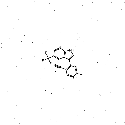 Cc1ncc(C#N)c(-c2c[nH]c3ncc(C(F)(F)F)cc23)n1